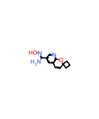 N/C(=N\O)c1cnc2c(c1)C=CC1(CCC1)O2